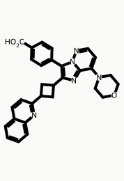 O=C(O)c1ccc(-c2c(C3CC(c4ccc5ccccc5n4)C3)nc3c(N4CCOCC4)ccnn23)cc1